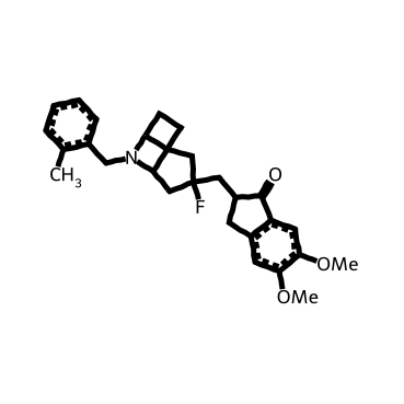 COc1cc2c(cc1OC)C(=O)C(CC1(F)CC3N(Cc4ccccc4C)C4CCC43C1)C2